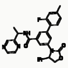 Cc1ccc(-c2cc(C(=O)NC(C)c3cnccn3)cc(N3C(=O)OCC3C(C)C)c2)c(F)c1